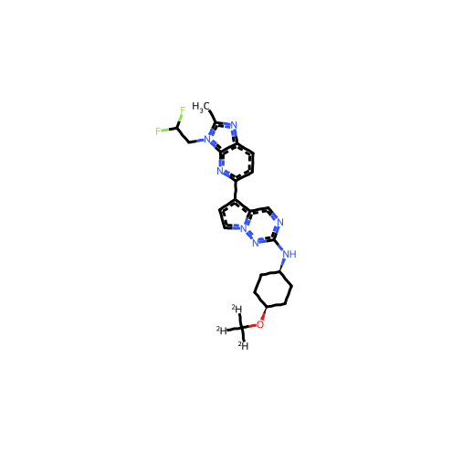 [2H]C([2H])([2H])O[C@H]1CC[C@@H](Nc2ncc3c(-c4ccc5nc(C)n(CC(F)F)c5n4)ccn3n2)CC1